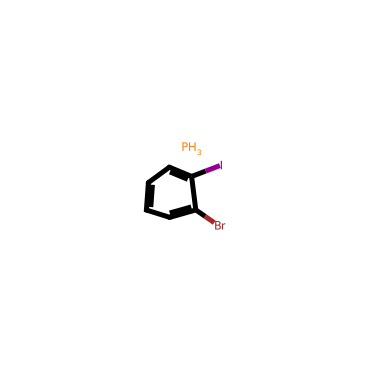 Brc1ccccc1I.P